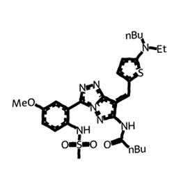 CCCCC(=O)Nc1nn2c(-c3cc(OC)ccc3NS(C)(=O)=O)nnc2/c1=C\c1ccc(N(CC)CCCC)s1